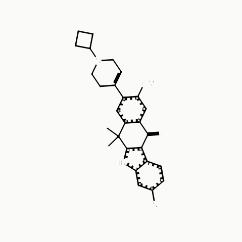 COc1cc2c(cc1C1=CCN(C3CCC3)CC1)C(C)(C)c1[nH]c3cc(N)ccc3c1C2=O